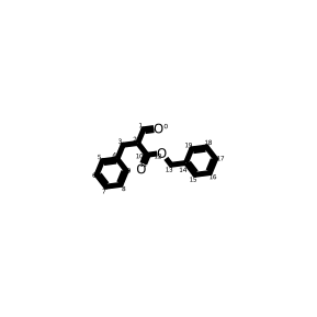 O=CC(Cc1ccccc1)C(=O)OCc1ccccc1